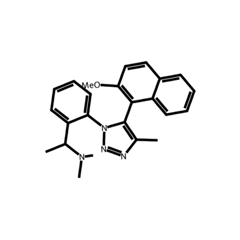 COc1ccc2ccccc2c1-c1c(C)nnn1-c1ccccc1C(C)N(C)C